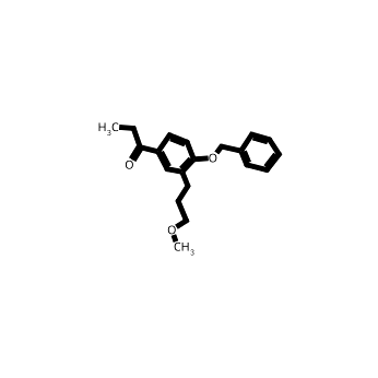 CCC(=O)c1ccc(OCc2ccccc2)c(CCCOC)c1